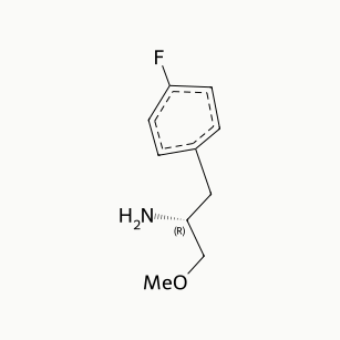 COC[C@H](N)Cc1ccc(F)cc1